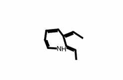 CC=C1C=CC=CNC1=CC